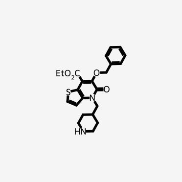 CCOC(=O)c1c(OCc2ccccc2)c(=O)n(CC2CCNCC2)c2ccsc12